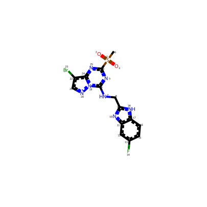 CS(=O)(=O)c1nc(NCc2nc3cc(F)ccc3[nH]2)n2ncc(Br)c2n1